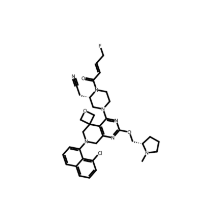 CN1CCC[C@H]1COc1nc2c(c(N3CCN(C(=O)/C=C/CF)[C@@H](CC#N)C3)n1)C1(COC1)CN(c1cccc3cccc(Cl)c13)C2